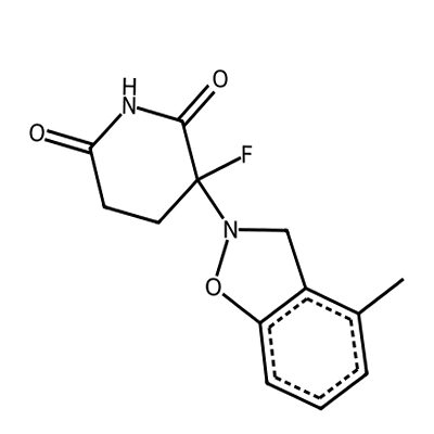 Cc1cccc2c1CN(C1(F)CCC(=O)NC1=O)O2